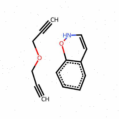 C#CCOCC#C.C1=Cc2ccccc2ON1